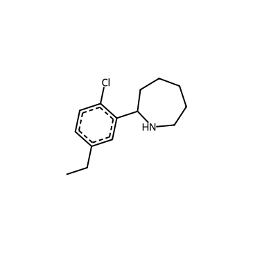 CCc1ccc(Cl)c(C2CCCCCN2)c1